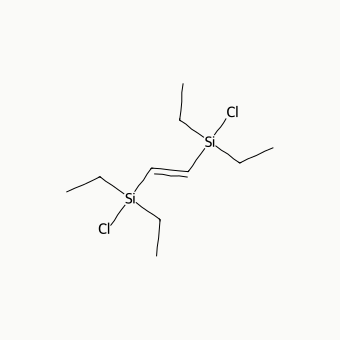 CC[Si](Cl)(C=C[Si](Cl)(CC)CC)CC